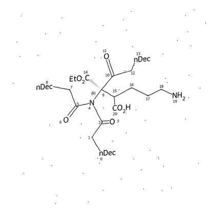 CCCCCCCCCCCC(=O)N(C(=O)CCCCCCCCCCC)[C@](C(=O)CCCCCCCCCCC)(C(=O)OCC)C(CCCN)C(=O)O